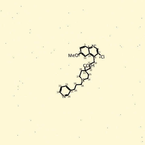 COc1ccc2ncc(Cl)c(CCCC3(C(=O)O)CCN(CCCc4cccnc4)CC3)c2c1